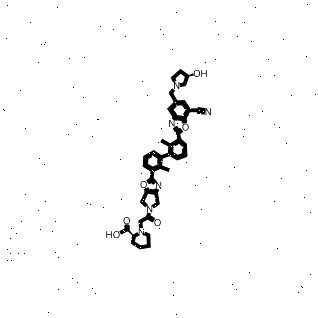 Cc1c(-c2nc3c(o2)CN(C(=O)CN2CCCC[C@H]2C(=O)O)C3)cccc1-c1cccc(-c2nc3cc(CN4CC[C@@H](O)C4)cc(C#N)c3o2)c1C